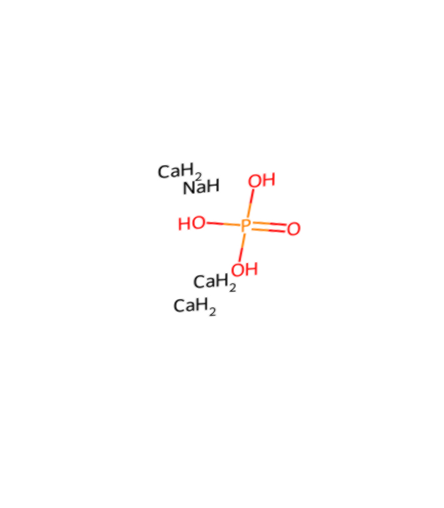 O=P(O)(O)O.[CaH2].[CaH2].[CaH2].[NaH]